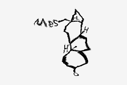 CSC[C@@]12CCC[C@H]1[C@@H]1CCC3=CC(=O)C=C[C@]3(C)[C@H]1CC2